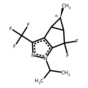 CC(C)n1nc(C(F)(F)F)c2c1C(F)(F)C1C2[C@H]1C